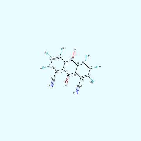 N#CC1=C(F)C(F)=C(F)C2C(=O)C3C(F)=C(F)C(F)=C(C#N)C3C(=O)C12